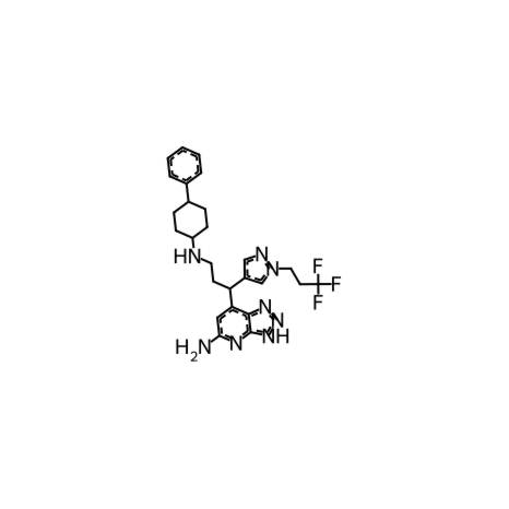 Nc1cc(C(CCNC2CCC(c3ccccc3)CC2)c2cnn(CCC(F)(F)F)c2)c2nn[nH]c2n1